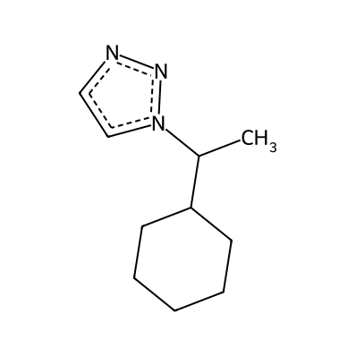 CC(C1CCCCC1)n1ccnn1